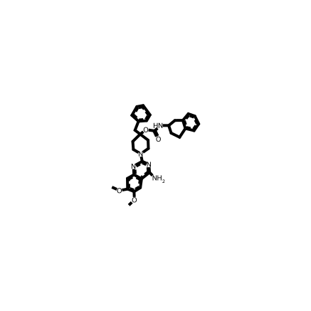 COc1cc2nc(N3CCC(Cc4ccccc4)(OC(=O)NC4CCc5ccccc5C4)CC3)nc(N)c2cc1OC